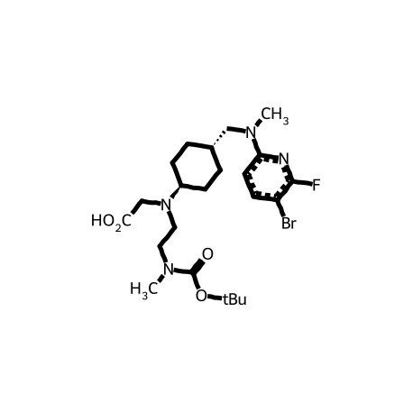 CN(CCN(CC(=O)O)[C@H]1CC[C@H](CN(C)c2ccc(Br)c(F)n2)CC1)C(=O)OC(C)(C)C